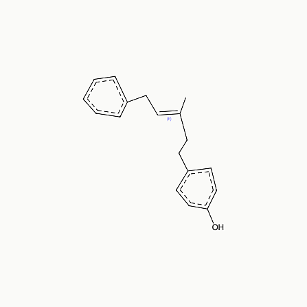 C/C(=C\Cc1ccccc1)CCc1ccc(O)cc1